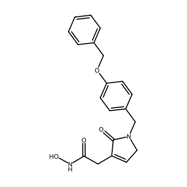 O=C(CC1=CCN(Cc2ccc(OCc3ccccc3)cc2)C1=O)NO